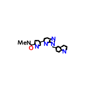 CNC(=O)c1ccc(-c2ccc3ncn(Cc4ccc5ncccc5c4)c3n2)cn1